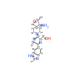 Cc1nc2ccc(-c3nc(CO)c(N4CCC5(CC4)CO[C@@H](I)[C@H]5N)nc3C)cc2[nH]1